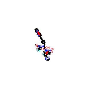 COC(=O)NC(C(=O)N[C@@H](Cc1ccc(C#Cc2ccc(N3CC4CCC(C3)N4C3COC3)nc2)cc1)[C@@H](O)CN(Cc1c(F)cc(-c2ncccn2)cc1F)NC(=O)[C@@H](NC(=O)OC)C(C)(C)C)C(C)(C)C(F)(F)F